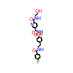 O=C(NCCc1ccc(S(=O)(=O)NC(=O)c2ccc(C(=O)NCCO)nc2)cc1)c1ccc(F)cc1